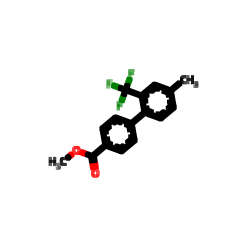 COC(=O)c1ccc(-c2ccc(C)cc2C(F)(F)F)cc1